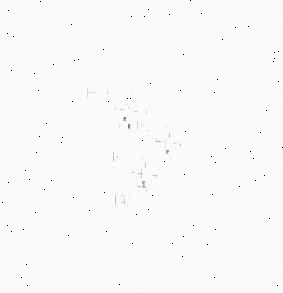 O=P([O-])([O-])OO.O=P([O-])([O-])OO.O=P([O-])([O-])OO.[Bi+3].[Bi+3]